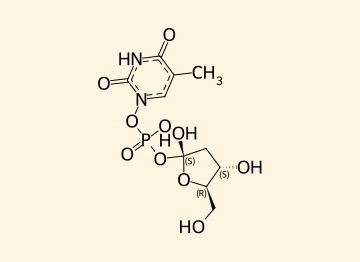 Cc1cn(OP(=O)(O)O[C@]2(O)C[C@H](O)[C@@H](CO)O2)c(=O)[nH]c1=O